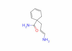 NC=CCC1(C(N)=O)C=CC=CC1